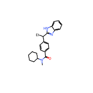 CCC(c1ccc(C(=O)N(C)C2CCCCC2)cc1)c1nc2ccccc2[nH]1